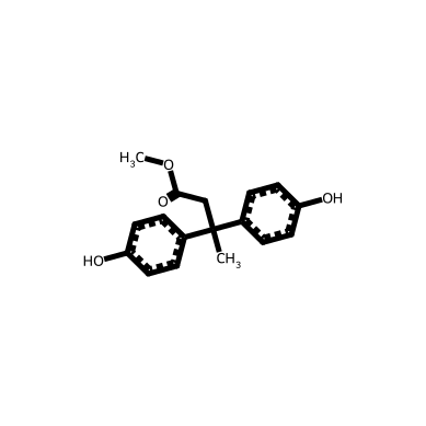 COC(=O)CC(C)(c1ccc(O)cc1)c1ccc(O)cc1